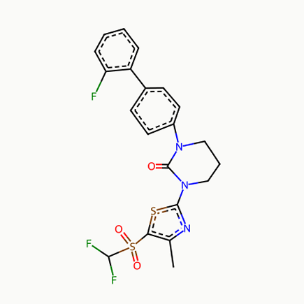 Cc1nc(N2CCCN(c3ccc(-c4ccccc4F)cc3)C2=O)sc1S(=O)(=O)C(F)F